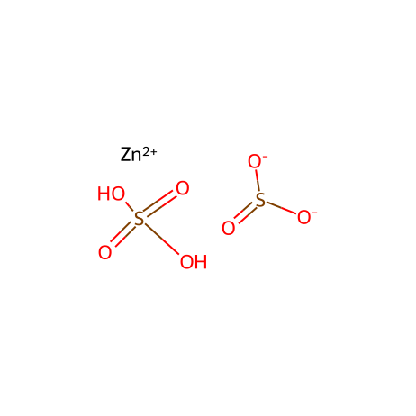 O=S(=O)(O)O.O=S([O-])[O-].[Zn+2]